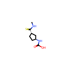 CNC(=S)[C@H]1CC[C@H](NC(=O)O)C1